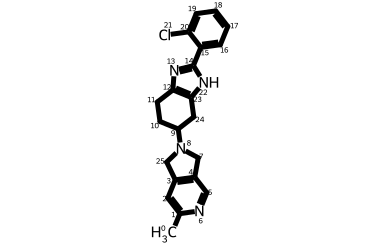 Cc1cc2c(cn1)CN(C1CCc3nc(-c4ccccc4Cl)[nH]c3C1)C2